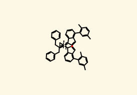 Cc1ccc(C)c(-c2cccc3c2C=C[CH]3[Hf]([CH3])([CH3])(=[C](Cc2ccccc2)Cc2ccccc2)[CH]2C=Cc3c(-c4cc(C)ccc4C)cccc32)c1